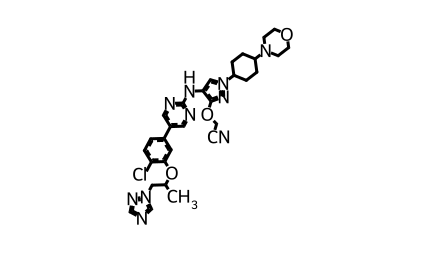 CC(Cn1cncn1)Oc1cc(-c2cnc(Nc3cn(C4CCC(N5CCOCC5)CC4)nc3OCC#N)nc2)ccc1Cl